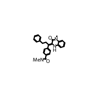 CNC(=O)c1ccc(C(CCc2ccccc2)=C2Nc3ccccc3N(C)C2=O)cc1